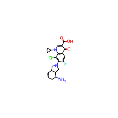 NC1CC=CC2CN(c3c(F)cc4c(=O)c(C(=O)O)cn(C5CC5)c4c3Cl)CC12